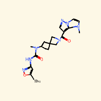 CN(C(=O)Nc1cc(C(C)(C)C)on1)C1CC2(C1)CN(C(=O)c1cnn3ccn(C)c13)C2